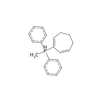 C[PH](C1=CCCCC=C1)(c1ccccc1)c1ccccc1